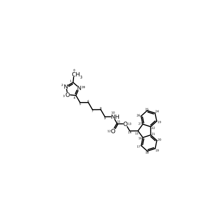 Cc1noc(CCCCCNC(=O)OCC2c3ccccc3-c3ccccc32)n1